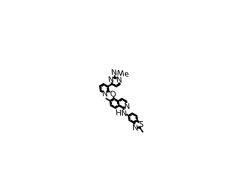 CNc1nccc(-c2cccnc2Oc2c(C)ccc3c(Nc4ccc5sc(C)nc5c4)nccc23)n1